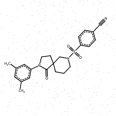 Cc1cc(C)cc(N2CCC3(CCCN(S(=O)(=O)c4ccc(C#N)cc4)C3)C2=O)c1